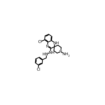 NN1CCC2(CC1)Nc1cccc(Cl)c1N=C2NNCc1cccc(Cl)c1